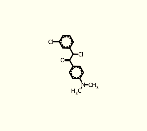 CN(C)c1ccc(C(=O)C(Cl)c2cccc(Cl)c2)cc1